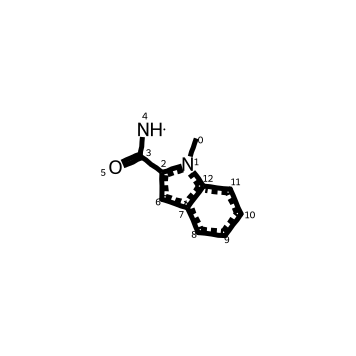 Cn1c(C([NH])=O)cc2ccccc21